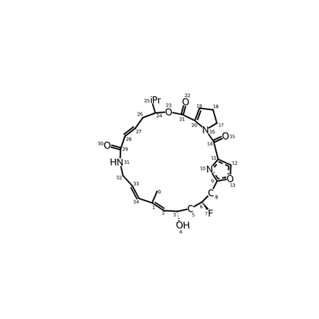 CC1=C\[C@@H](O)C[C@H](F)Cc2nc(co2)C(=O)N2CCC=C2C(=O)OC(C(C)C)C/C=C/C(=O)NC\C=C\1